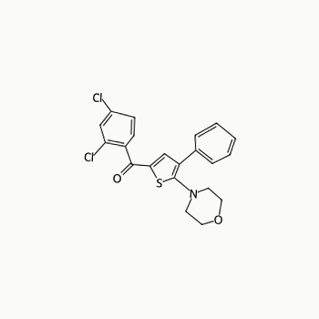 O=C(c1cc(-c2ccccc2)c(N2CCOCC2)s1)c1ccc(Cl)cc1Cl